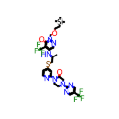 C[C@@H](CSc1ccnc(N2CCN(c3ncc(C(F)(F)F)cn3)CC2=O)c1)Nc1cnn(COCC[Si](C)(C)C)c(=O)c1C(F)(F)F